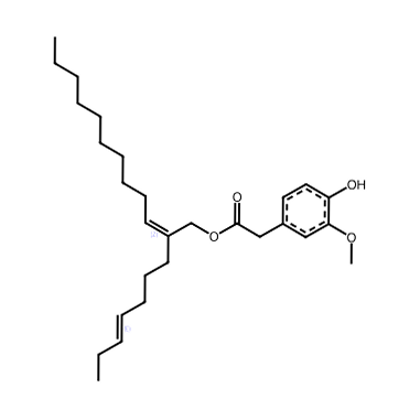 CC/C=C/CCC/C(=C/CCCCCCCCC)COC(=O)Cc1ccc(O)c(OC)c1